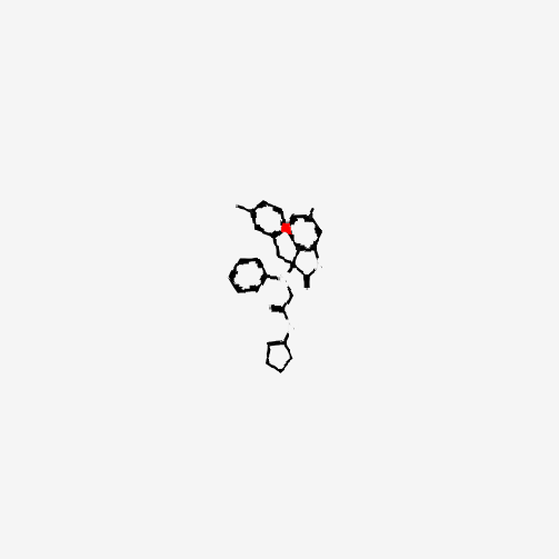 O=C(CN(c1ccccc1)C1(Cc2cccc(Cl)c2)C(=O)Nc2cc(Cl)ccc21)NC1CCCC1